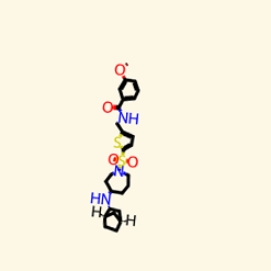 COc1cccc(C(=O)NCc2ccc(S(=O)(=O)N3CCCC(N[C@@H]4C[C@H]5CC[C@@H]4C5)CC3)s2)c1